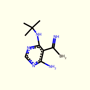 BC(=N)c1c(N)ncnc1NC(C)(C)C